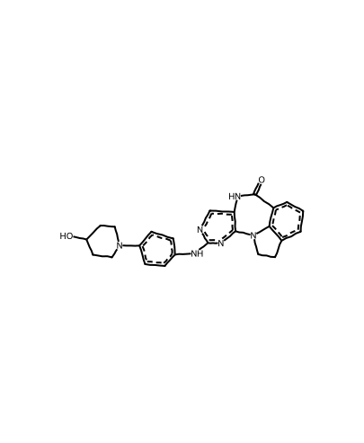 O=C1Nc2cnc(Nc3ccc(N4CCC(O)CC4)cc3)nc2N2CCc3cccc1c32